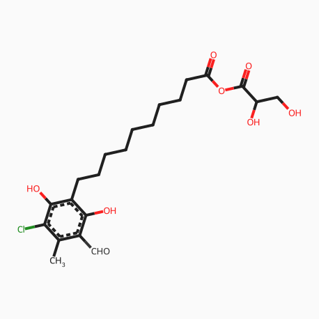 Cc1c(Cl)c(O)c(CCCCCCCCCC(=O)OC(=O)C(O)CO)c(O)c1C=O